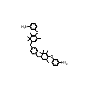 CC1=CC(Cc2ccc(CC3C=C(C)C(Oc4cccc(N)c4)=C(C)C3(C)C)cc2)C(C)(C)C(C)=C1Oc1cccc(N)c1